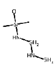 C[Si](C)(Cl)N[SiH2]N[SiH3]